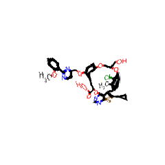 COc1ccccc1-c1nccc(COc2ccc3cc2CC(C(=O)O)Oc2ncnc4sc(C5CC5)c(c24)-c2ccc(c(Cl)c2C)OC(CO)CO3)n1